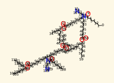 CCCCCCCCC(=O)N(CCCN(C)C)C(CCCCCCCCC(=O)OCC(CCCC)CCCCCC)CCCCCCCCC(=O)OCC(CCCCCC)CCCCC(CCCC)CC(CCCCCC)OC(=O)CCCCCCCCC(CCCCCCCCC(=O)OC(CCCCCC)CCCCCC)N(CCCN(C)C)C(=O)CCCCCCC